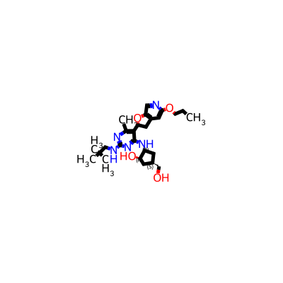 CCCOc1cc2c(cn1)OC(c1c(C)nc(NCC(C)(C)C)nc1N[C@@H]1C[C@H](CO)C[C@H]1O)C2